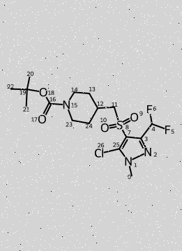 Cn1nc(C(F)F)c(S(=O)(=O)CC2CCN(C(=O)OC(C)(C)C)CC2)c1Cl